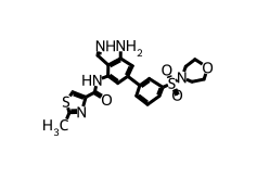 Cc1nc(C(=O)Nc2cc(-c3cccc(S(=O)(=O)N4CCOCC4)c3)cc(N)c2C=N)cs1